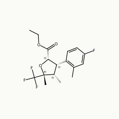 CCOC(=O)[C@H]1O[C@@](C)(C(F)(F)F)[C@@H](C)[C@H]1c1ccc(F)cc1C